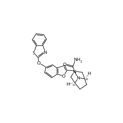 NC(=O)N1C[C@H]2CC[C@@H](C1)N2Cc1cc2cc(Oc3nc4ccccc4s3)ccc2o1